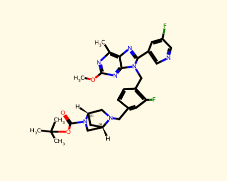 COc1nc(C)c2nc(-c3cncc(F)c3)n(Cc3ccc(CN4C[C@@H]5C[C@H]4CN5C(=O)OC(C)(C)C)cc3F)c2n1